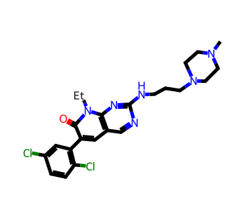 CCn1c(=O)c(-c2cc(Cl)ccc2Cl)cc2cnc(NCCCN3CCN(C)CC3)nc21